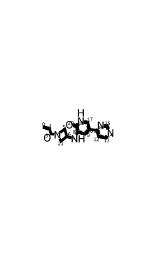 C=CC(=O)N1CC(Nc2cc(-c3ccncn3)c[nH]c2=O)C1